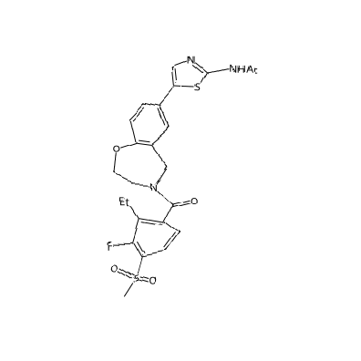 CCc1c(C(=O)N2CCOc3ccc(-c4cnc(NC(C)=O)s4)cc3C2)ccc(S(C)(=O)=O)c1F